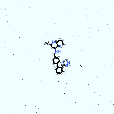 CCCc1cc(NCc2ccc(-c3ccccc3-c3nnn[nH]3)cc2)c2ncccc2n1